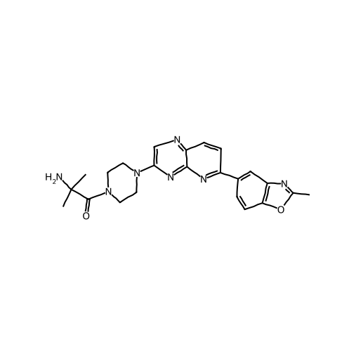 Cc1nc2cc(-c3ccc4ncc(N5CCN(C(=O)C(C)(C)N)CC5)nc4n3)ccc2o1